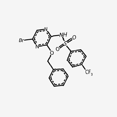 O=S(=O)(Nc1ncc(Br)nc1OCc1ccccc1)c1ccc(C(F)(F)F)cc1